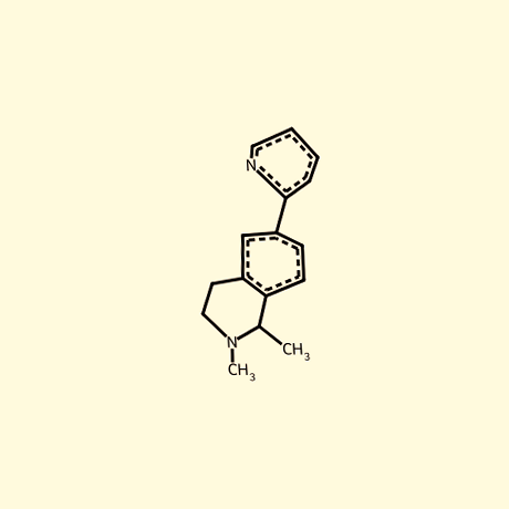 CC1c2ccc(-c3ccccn3)cc2CCN1C